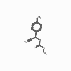 C#CC(OC(=O)OC)c1ccc(C)cc1